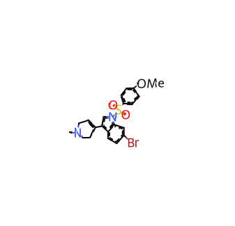 COc1ccc(S(=O)(=O)n2cc(C3=CCN(C)CC3)c3ccc(Br)cc32)cc1